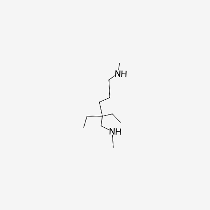 CCC(CC)(CCCNC)CNC